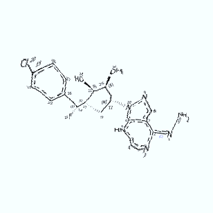 N/N=c1/nc[nH]c2c1cnn2[C@@H]1C[C@H]([C@H](F)c2ccc(Cl)cc2)[C@@H](O)[C@H]1O